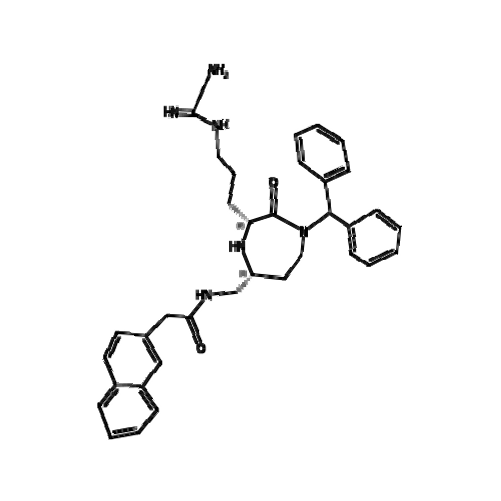 N=C(N)NCCC[C@H]1N[C@@H](CNC(=O)Cc2ccc3ccccc3c2)CCN(C(c2ccccc2)c2ccccc2)C1=O